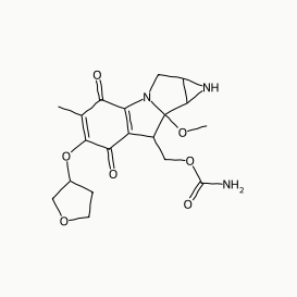 COC12C(COC(N)=O)C3=C(C(=O)C(C)=C(OC4CCOC4)C3=O)N1CC1NC12